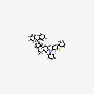 C1=Cc2sc3cc(N(c4ccccc4)c4ccc5c(c4)C4CC4c4ccc(C(c6ccccc6)c6ccccc6)cc4-5)ccc3c2CC1